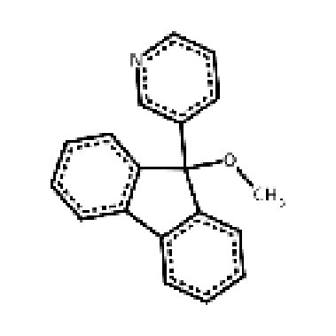 COC1(c2cccnc2)c2ccccc2-c2ccccc21